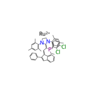 CCP(C(C=C1C(c2ccccc2)=Cc2ccccc21)=C1N(c2c(C)cc(C)cc2C)CCN1c1c(C)cc(C)cc1C)c1cccc(Cl)c1Cl.[Ru+2]